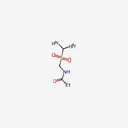 CCCC(CCC)S(=O)(=O)CNC(=O)CC